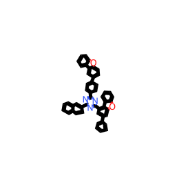 c1ccc(-c2cc(-c3nc(-c4ccc(-c5ccc6oc7ccccc7c6c5)cc4)nc(-c4ccc5ccccc5c4)n3)c3c(c2)oc2ccccc23)cc1